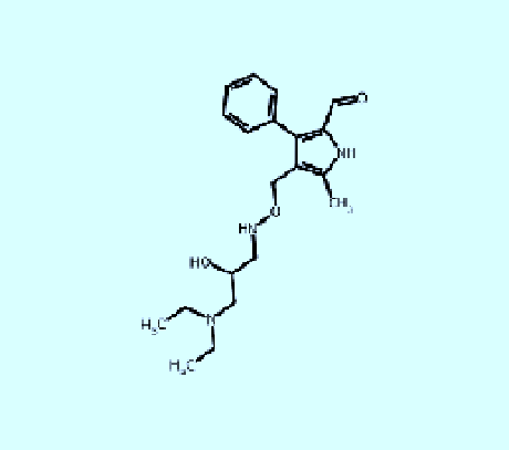 CCN(CC)CC(O)CNOCc1c(C)[nH]c(C=O)c1-c1ccccc1